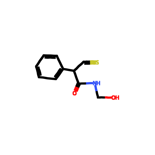 O=C(NCO)C(C=S)c1ccccc1